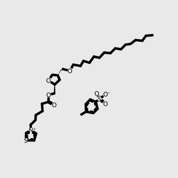 CCCCCCCCCCCCCCCCOC[C@H]1CO[C@H](COC(=O)CCCCC[n+]2ccsc2)C1.Cc1ccc(S(=O)(=O)[O-])cc1